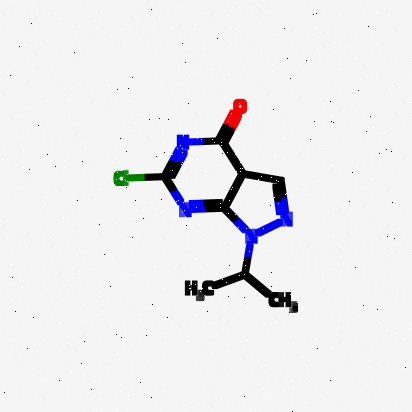 CC(C)N1N=CC2C(=O)N=C(Cl)N=C21